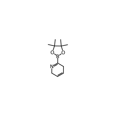 CC1(C)OB(C2=NCC=CC2)OC1(C)C